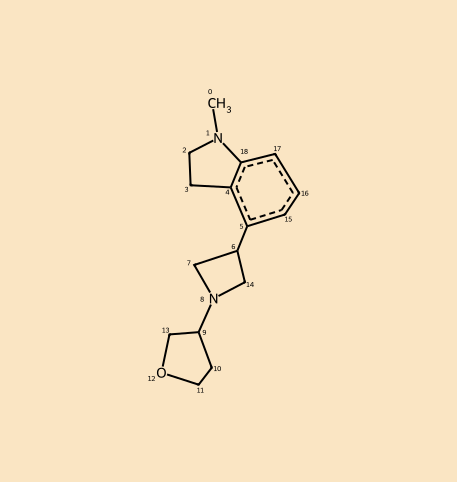 CN1CCc2c(C3CN(C4CCOC4)C3)cccc21